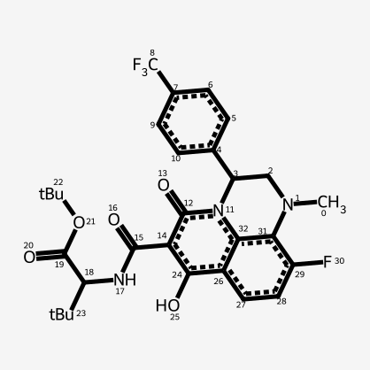 CN1CC(c2ccc(C(F)(F)F)cc2)n2c(=O)c(C(=O)NC(C(=O)OC(C)(C)C)C(C)(C)C)c(O)c3ccc(F)c1c32